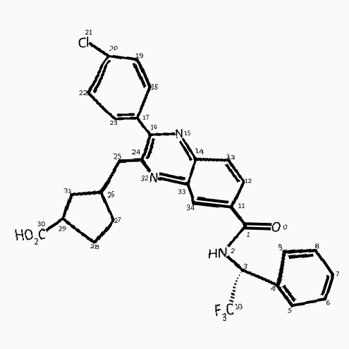 O=C(N[C@H](c1ccccc1)C(F)(F)F)c1ccc2nc(-c3ccc(Cl)cc3)c(CC3CCC(C(=O)O)C3)nc2c1